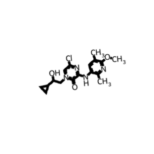 COc1nc(C)c(Nc2nc(Cl)cn(CC(O)C3CC3)c2=O)cc1C